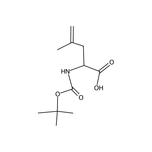 C=C(C)CC(NC(=O)OC(C)(C)C)C(=O)O